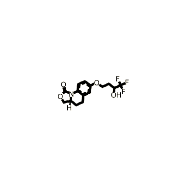 O=C1OC[C@H]2CCc3cc(OCCC(O)C(F)(F)F)ccc3N12